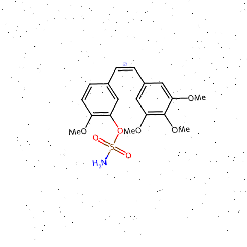 COc1ccc(/C=C\c2cc(OC)c(OC)c(OC)c2)cc1OS(N)(=O)=O